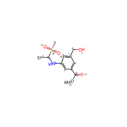 CCC(Nc1cc(CO)cc(C(=O)OC)c1)S(C)(=O)=O